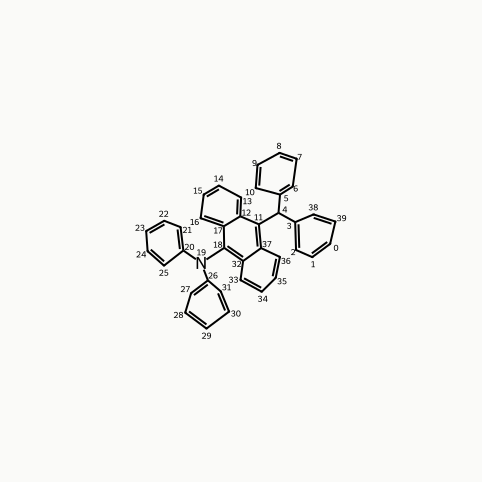 c1ccc(C(c2ccccc2)c2c3ccccc3c(N(c3ccccc3)c3ccccc3)c3ccccc23)cc1